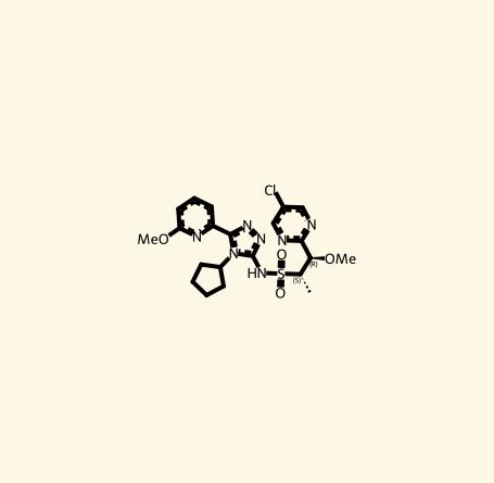 COc1cccc(-c2nnc(NS(=O)(=O)[C@@H](C)[C@H](OC)c3ncc(Cl)cn3)n2C2CCCC2)n1